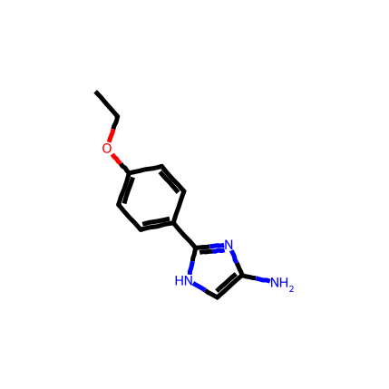 CCOc1ccc(-c2nc(N)c[nH]2)cc1